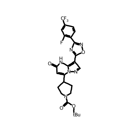 CC(C)(C)OC(=O)N1CCC(c2cc(=O)[nH]c3c(-c4nc(-c5ccc(C(F)(F)F)cc5F)no4)cnn23)CC1